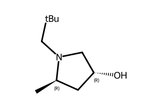 C[C@@H]1C[C@@H](O)CN1CC(C)(C)C